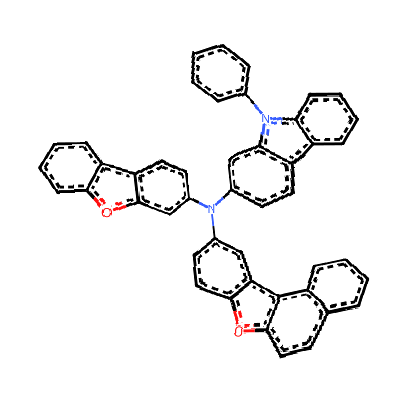 c1ccc(-n2c3ccccc3c3ccc(N(c4ccc5c(c4)oc4ccccc45)c4ccc5oc6ccc7ccccc7c6c5c4)cc32)cc1